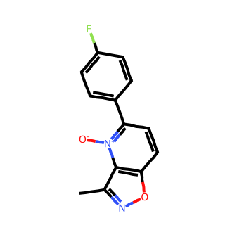 Cc1noc2ccc(-c3ccc(F)cc3)[n+]([O-])c12